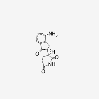 [2H]C1(C2Cc3c(N)cccc3C2=O)CCC(=O)NC1=O